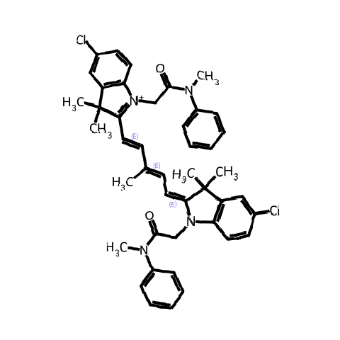 CC(/C=C/C1=[N+](CC(=O)N(C)c2ccccc2)c2ccc(Cl)cc2C1(C)C)=C\C=C1\N(CC(=O)N(C)c2ccccc2)c2ccc(Cl)cc2C1(C)C